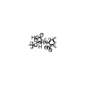 Cc1cc(C)c([N+](=O)[O-])c(NC[C@H](NC(=O)OC(C)(C)C)C(=O)O)c1